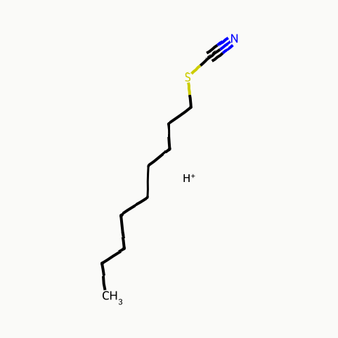 CCCCCCCCCSC#N.[H+]